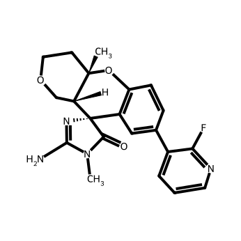 CN1C(=O)[C@]2(N=C1N)c1cc(-c3cccnc3F)ccc1O[C@@]1(C)CCOC[C@H]12